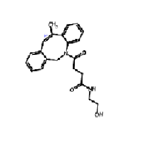 C/C1=C/c2ccccc2CN(C(=O)CCC(=O)NCCO)c2ccccc21